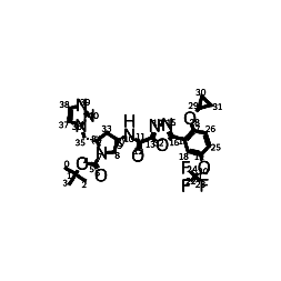 CC(C)(C)OC(=O)N1C[C@H](NC(=O)c2nnc(-c3cc(OC(F)(F)F)ccc3OC3CC3)o2)C[C@H]1Cn1ccnn1